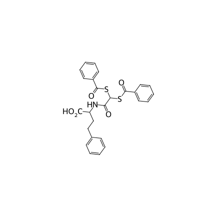 O=C(SC(SC(=O)c1ccccc1)C(=O)NC(CCc1ccccc1)C(=O)O)c1ccccc1